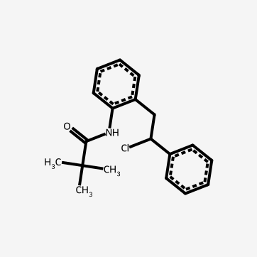 CC(C)(C)C(=O)Nc1ccccc1CC(Cl)c1ccccc1